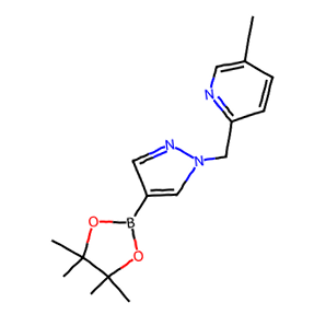 Cc1ccc(Cn2cc(B3OC(C)(C)C(C)(C)O3)cn2)nc1